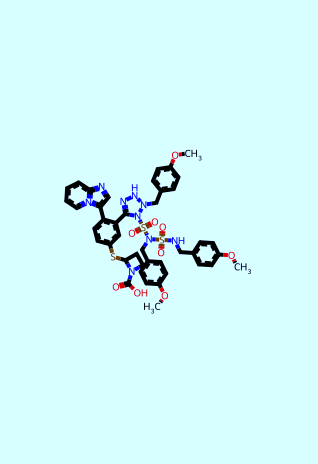 COc1ccc(CNS(=O)(=O)N(Cc2ccc(OC)cc2)S(=O)(=O)N2C(c3cc(SC4CCN4C(=O)O)ccc3-c3cnc4ccccn34)=NNN2Cc2ccc(OC)cc2)cc1